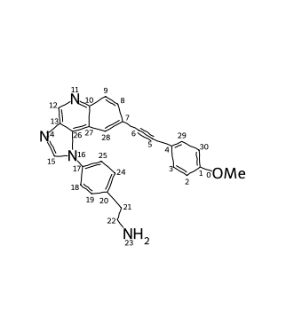 COc1ccc(C#Cc2ccc3ncc4ncn(-c5ccc(CCN)cc5)c4c3c2)cc1